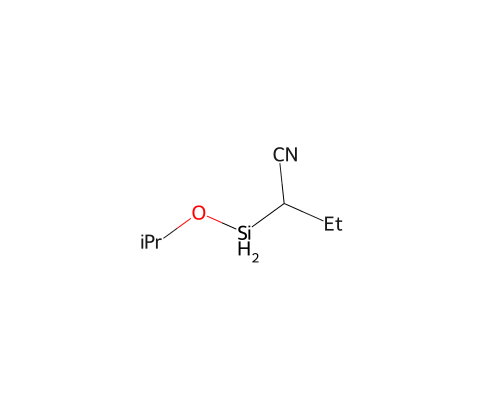 CCC(C#N)[SiH2]OC(C)C